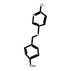 COc1ccc(COc2ccc(C(F)(F)F)nc2)cc1